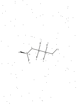 [CH2]CC(F)(F)C(F)(F)C[C@H](C)F